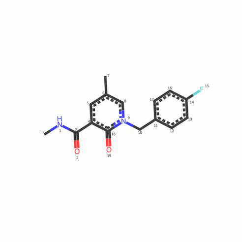 CNC(=O)c1cc(C)cn(Cc2ccc(F)cc2)c1=O